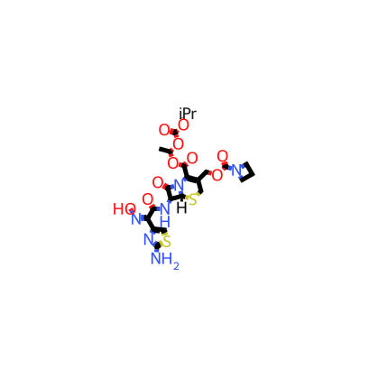 CC(C)OC(=O)OC(C)OC(=O)C1=C(COC(=O)N2CCC2)CS[C@@H]2C(NC(=O)/C(=N\O)c3csc(N)n3)C(=O)N12